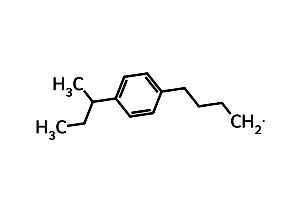 [CH2]CCCc1ccc(C(C)CC)cc1